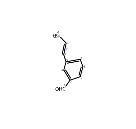 CC(C)(C)/C=C/c1cccc(C=O)c1